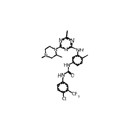 Cc1nc(Nc2cc(NC(=O)Nc3ccc(Cl)c(C(F)(F)F)c3)ccc2C)nc(N2CCN(C)CC2C)n1